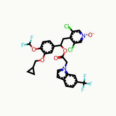 O=C(Cn1ccc2ccc(C(F)(F)F)cc21)OC(Cc1c(Cl)c[n+]([O-])cc1Cl)c1ccc(OC(F)F)c(OCC2CC2)c1